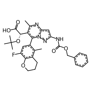 Cc1nc2cc(NC(=O)OCc3ccccc3)nn2c(-c2cc(F)c3c(c2C)CCCO3)c1[C@H](OC(C)(C)C)C(=O)O